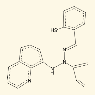 C=CC(=C)N(/N=C/c1ccccc1S)Nc1cccc2cccnc12